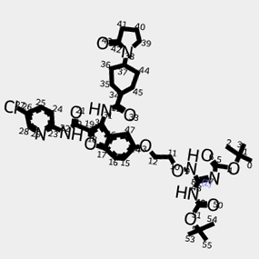 CC(C)(C)OC(=O)/N=C(\NOCCOc1ccc2oc(C(=O)Nc3ccc(Cl)cn3)c(NC(=O)C3CCC(N4CCCC4=O)CC3)c2c1)NC(=O)OC(C)(C)C